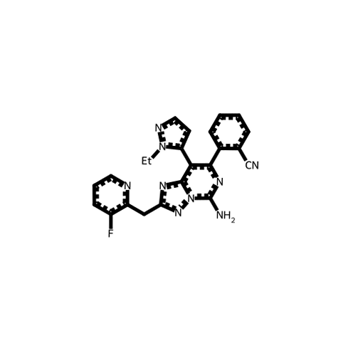 CCn1nccc1-c1c(-c2ccccc2C#N)nc(N)n2nc(Cc3ncccc3F)nc12